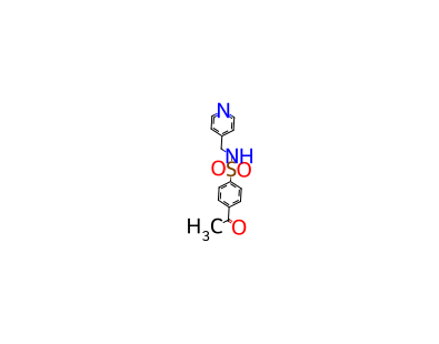 CC(=O)c1ccc(S(=O)(=O)NCc2ccncc2)cc1